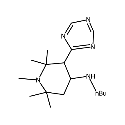 CCCCNC1CC(C)(C)N(C)C(C)(C)C1c1ncncn1